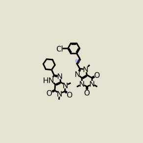 Cn1c(=O)c2[nH]c(C3CCCCC3)nc2n(C)c1=O.Cn1c(=O)c2c(nc(/C=C/c3cccc(Cl)c3)n2C)n(C)c1=O